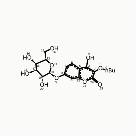 CCCCOc1c(O)c2ccc(O[C@@H]3O[C@H](CO)[C@H](O)[C@H](O)[C@H]3O)cc2oc1=O